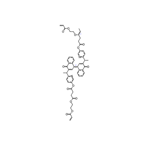 C=CC(=O)OCCOC(=O)CCC(=O)Oc1ccc(C(C)C2=C/C(=C3/C=C(C(C)c4ccc(OC(=O)CC/C(=C/C)OCCOC(=O)C=C)cn4)C(=O)c4ccccc43)c3ccccc3C2=O)nc1